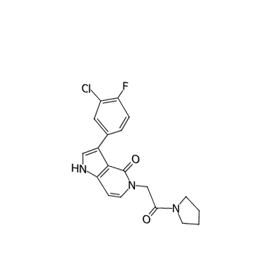 O=C(Cn1ccc2[nH]cc(-c3ccc(F)c(Cl)c3)c2c1=O)N1CCCC1